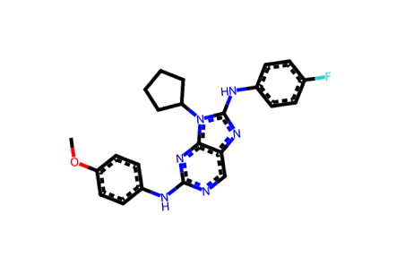 COc1ccc(Nc2ncc3nc(Nc4ccc(F)cc4)n(C4CCCC4)c3n2)cc1